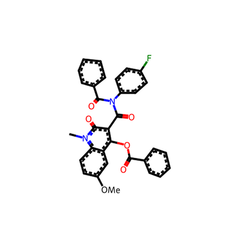 COc1ccc2c(c1)c(OC(=O)c1ccccc1)c(C(=O)N(C(=O)c1ccccc1)c1ccc(F)cc1)c(=O)n2C